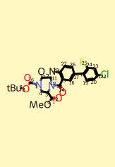 COC(=O)C1CN(C(=O)OC(C)(C)C)CCN1C(=O)c1cc(-c2ccc(Cl)cc2F)ccc1[N+](=O)[O-]